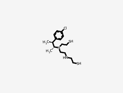 C[C@H]([C@@H](C)c1ccc(Cl)cc1)N(CCS)CCNCCS